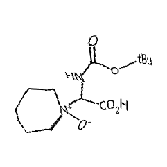 CC(C)(C)OC(=O)NC(C(=O)O)[N+]1([O-])CCCCC1